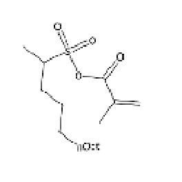 C=C(C)C(=O)OS(=O)(=O)C(C)CCCCCCCCCCC